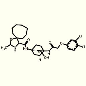 CC1NC(C(=O)NC23CCC(NC(=O)COc4ccc(Cl)c(Cl)c4)(CC2)[C@@H](O)C3)C2(CCCCCCC2)S1